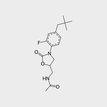 CC(=O)NCC1CN(c2ccc(CC(C)(C)C)cc2F)C(=O)O1